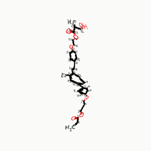 C=CC(=O)OCCCOc1ccc(-c2ccc(/C=C/c3ccc(OCCOC(=O)C(=C)CO)cc3)c(CC)c2)cc1